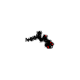 N#Cc1ccc(-c2ccc(-c3cc(-c4cccc(-n5c6ccccc6c6cc(-c7cccc8c7-c7ccccc7C87c8ccccc8Oc8ccccc87)ccc65)c4)nc(-c4ccccc4)n3)cc2)cc1